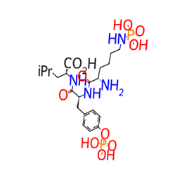 CC(C)C[C@H](NC(=O)[C@H](Cc1ccc(OP(=O)(O)O)cc1)NC(=O)[C@@H](N)CCCCNP(=O)(O)O)C(=O)O